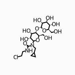 O=C(NCCCl)N(CC1CC1)C1O[C@H](CO)[C@@H](O[C@H]2O[C@H](CO)[C@@H](O)[C@H](O)[C@H]2O)[C@H](O)[C@H]1O